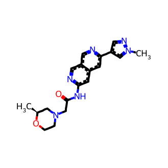 C[C@H]1CN(CC(=O)Nc2cc3cc(-c4cnn(C)c4)ncc3cn2)CCO1